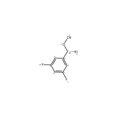 CC[C@@H](OC#N)c1cc(F)cc(F)c1